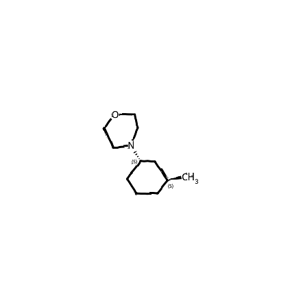 C[C@H]1CCC[C@H](N2CCOCC2)C1